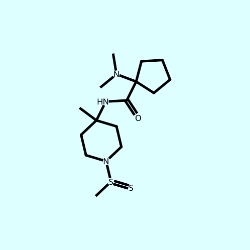 CN(C)C1(C(=O)NC2(C)CCN(S(C)=S)CC2)CCCC1